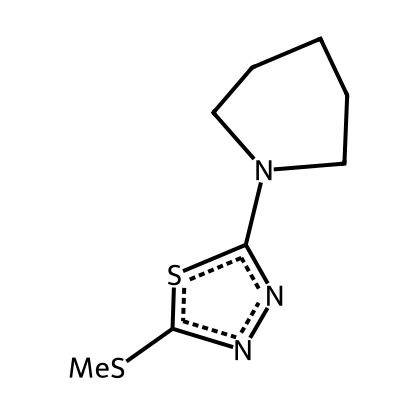 CSc1nnc(N2CCCCC2)s1